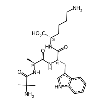 C[C@H](NC(=O)C(C)(C)N)C(=O)N[C@@H](Cc1c[nH]c2ccccc12)C(=O)N[C@@H](CCCCN)C(=O)O